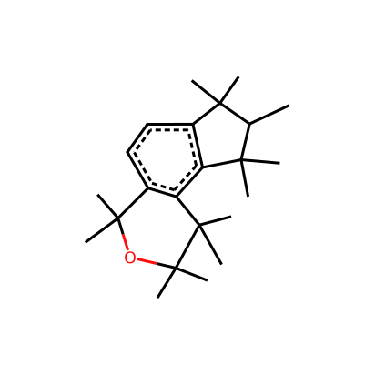 CC1C(C)(C)c2ccc3c(c2C1(C)C)C(C)(C)C(C)(C)OC3(C)C